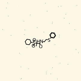 CC(C)(C(=O)NCCSc1ccccc1)S(=O)(=O)C1CCCCC1